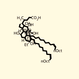 CCCCCCCC/C=C\CCCCCCCCC1C(CCCCCCCC/C=C\CCCCCCCC)(P(=O)(O)O)[C@@]2(C)[C@H](C[C@@H](O)[C@H]3[C@@H]4CC[C@H]([C@H](C)CCC(=O)O)[C@@]4(C)[C@@H](O)C[C@@H]32)C[C@@]1(O)CC